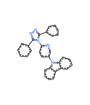 c1ccc(-c2nnc(-c3ccccc3)n2-c2ccc(-n3c4ccccc4c4ccccc43)cn2)cc1